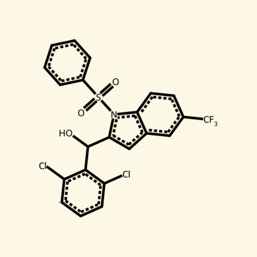 O=S(=O)(c1ccccc1)n1c(C(O)c2c(Cl)[c]ccc2Cl)cc2cc(C(F)(F)F)ccc21